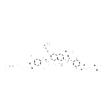 COc1cc(S(=O)(=O)CCOS(=O)(=O)O)c(OC)cc1/N=N/c1c(S(=O)(=O)O)cc2cc(SOOO)c(/N=N/c3cc(OC)c(S(=O)(=O)CCOSOOO)cc3OC)c(O)c2c1N